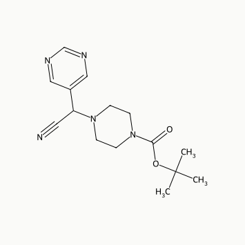 CC(C)(C)OC(=O)N1CCN(C(C#N)c2cncnc2)CC1